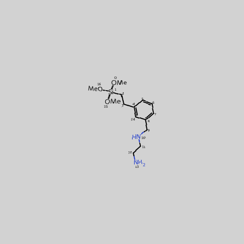 CO[Si](CCc1cccc(CNCCN)c1)(OC)OC